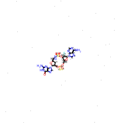 Nc1nc2c(ncn2[C@@H]2O[C@@H]3CNS(=O)(=O)O[C@H]4[C@@H](F)[C@H](n5cnc6c(N)ncnc65)O[C@@H]4CO[P@](=O)(S)O[C@@H]2C3)c(=O)[nH]1